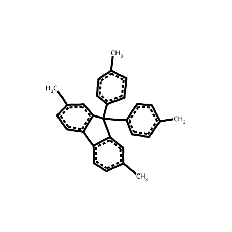 Cc1ccc(C2(c3ccc(C)cc3)c3cc(C)ccc3-c3ccc(C)cc32)cc1